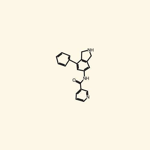 O=C(Nc1cc2c(c(-c3ccccc3)c1)CNC2)c1cccnc1